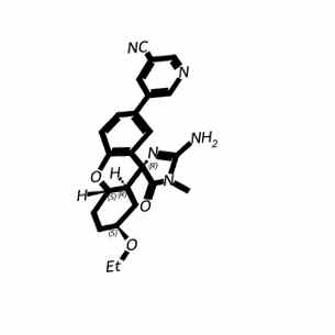 CCO[C@H]1CC[C@@H]2Oc3ccc(-c4cncc(C#N)c4)cc3[C@]3(N=C(N)N(C)C3=O)[C@H]2C1